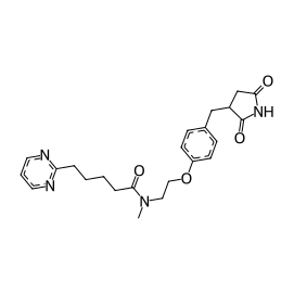 CN(CCOc1ccc(CC2CC(=O)NC2=O)cc1)C(=O)CCCCc1ncccn1